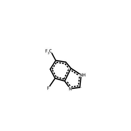 Fc1cc(C(F)(F)F)cc2[nH][c]nc12